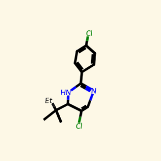 CCC(C)(C)C1NC(c2ccc(Cl)cc2)=NC=C1Cl